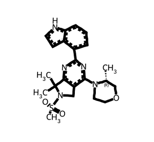 C[C@@H]1COCCN1c1nc(-c2cccc3[nH]ccc23)nc2c1CN(S(C)(=O)=O)C2(C)C